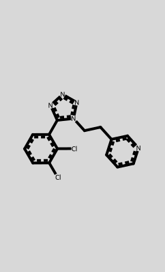 Clc1cccc(-c2nnnn2CCc2cccnc2)c1Cl